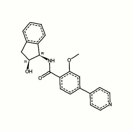 COc1cc(-c2ccncc2)ccc1C(=O)N[C@@H]1c2ccccc2C[C@@H]1O